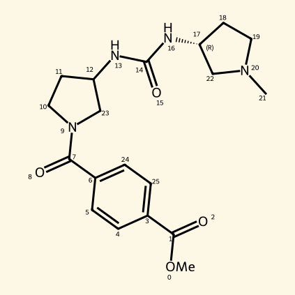 COC(=O)c1ccc(C(=O)N2CCC(NC(=O)N[C@@H]3CCN(C)C3)C2)cc1